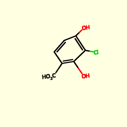 O=C(O)c1ccc(O)c(Cl)c1O